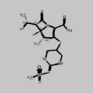 C[C@@H](O)[C@H]1C(=O)N2C(C(=O)O)=C(SC3CNC(=NS(C)(=O)=O)NC3)[C@H](C)[C@H]12